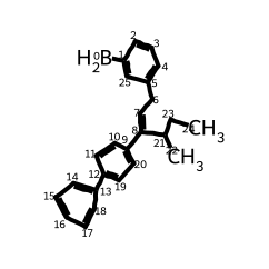 Bc1cccc(C/C=C(/c2ccc(-c3ccccc3)cc2)C(C)CC)c1